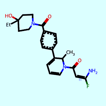 CCC1(O)CCN(C(=O)c2ccc(C3=CC=CN(C(=O)/C=C(\N)F)C3C)cc2)CC1